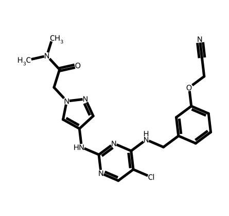 CN(C)C(=O)Cn1cc(Nc2ncc(Cl)c(NCc3cccc(OCC#N)c3)n2)cn1